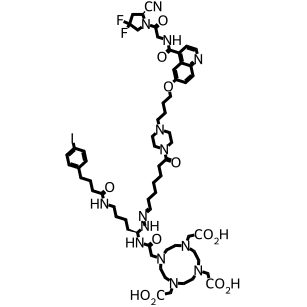 N#C[C@H]1CC(F)(F)CN1C(=O)CNC(=O)c1ccnc2ccc(OCCCCN3CCN(C(=O)CCCCC/C=N/N[C@H](CCCCNC(=O)CCCc4ccc(I)cc4)NC(=O)CN4CCN(CC(=O)O)CCN(CC(=O)O)CCN(CC(=O)O)CC4)CC3)cc12